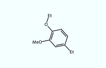 CCOc1ccc(CC)cc1OC